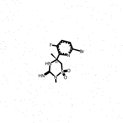 CN1C(=N)N[C@](C)(c2nc(Br)ccc2F)CS1(=O)=O